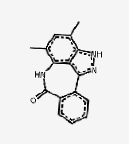 Cc1cc(C)c2[nH]nc3c2c1NC(=O)c1ccccc1-3